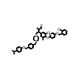 C/C(C=O)=C(\CN1CCN(Cc2ccc(COc3ccc(C(C)C)cc3)cc2)CC1)c1cc(C)c(Oc2ccc(OCc3ccccc3Cl)cn2)c(Cl)c1